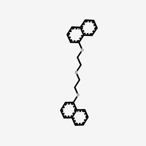 c1ccc2c(OCCOCCOc3cccc4ccccc34)cccc2c1